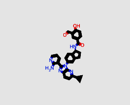 Nc1ncccc1-c1nc2ccc(C3CC3)nc2n1-c1ccc2c(c1)CC[C@@H]2NC(=O)c1ccc(O)c(C=O)c1